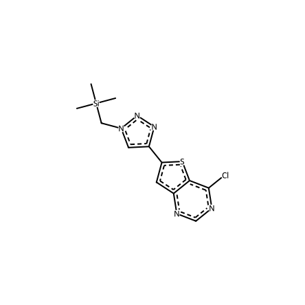 C[Si](C)(C)Cn1cc(-c2cc3ncnc(Cl)c3s2)nn1